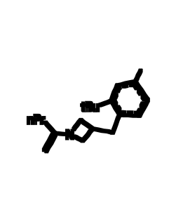 C=C(CCC)N1CC(Cc2ccc(C)cc2C(C)(C)C)C1